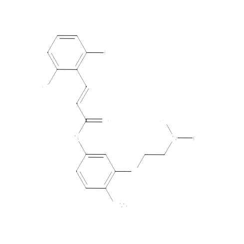 COc1ccc(NC(=O)C=Cc2c(F)cccc2Cl)cc1OCCN(C(C)C)C(C)C